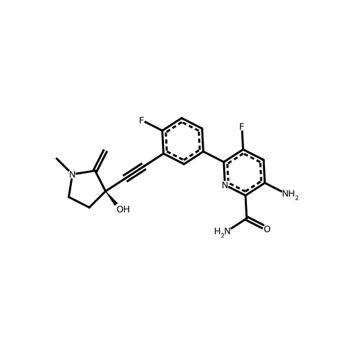 C=C1N(C)CC[C@@]1(O)C#Cc1cc(-c2nc(C(N)=O)c(N)cc2F)ccc1F